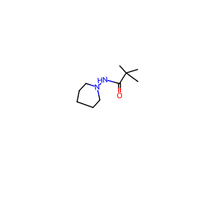 CC(C)(C)C(=O)NN1CCCCC1